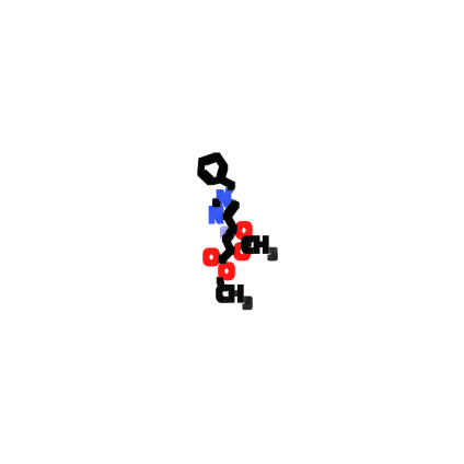 CCOC(=O)C(=O)/C=C(\OC)c1cn(Cc2ccccc2)cn1